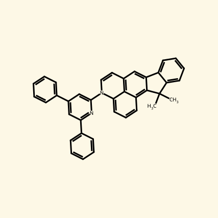 CC1(C)c2ccccc2-c2cc3c4c(cccc4c21)N(c1cc(-c2ccccc2)cc(-c2ccccc2)n1)C=C3